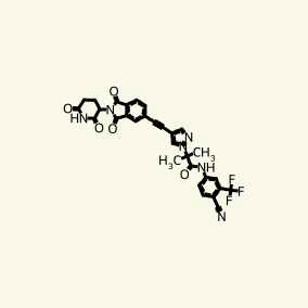 CC(C)(C(=O)Nc1ccc(C#N)c(C(F)(F)F)c1)n1cc(C#Cc2ccc3c(c2)C(=O)N(C2CCC(=O)NC2=O)C3=O)cn1